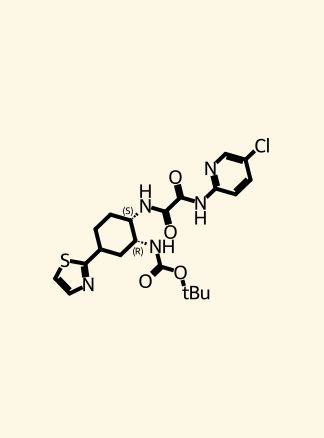 CC(C)(C)OC(=O)N[C@@H]1CC(c2nccs2)CC[C@@H]1NC(=O)C(=O)Nc1ccc(Cl)cn1